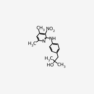 Cc1cc(C)c([N+](=O)[O-])c(Nc2ccc(CC(C)(C)O)cc2)n1